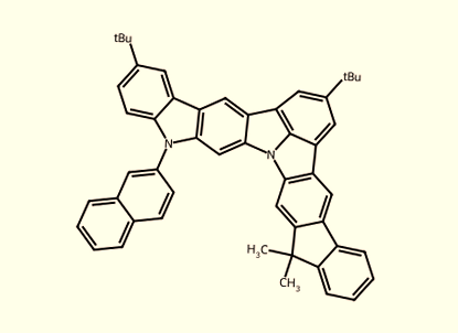 CC(C)(C)c1ccc2c(c1)c1cc3c4cc(C(C)(C)C)cc5c6cc7c(cc6n(c3cc1n2-c1ccc2ccccc2c1)c54)C(C)(C)c1ccccc1-7